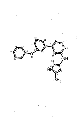 Bc1cc(Nc2nncc(-c3cccc(Oc4ccccc4)c3)n2)n[nH]1